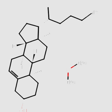 CC(C)(C)OC(C)(C)C.CC(C)CCCC(C)[C@H]1CC[C@H]2[C@@H]3CC=C4C[C@@H](O)CC[C@]4(C)[C@H]3CC[C@]12C